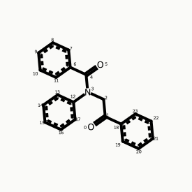 O=C(CN(C(=O)c1ccccc1)c1ccccc1)c1ccccc1